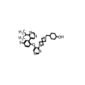 CC(C)c1ncncc1-c1cc(F)ccc1Oc1cncnc1N1CC2(CN(CC3CCC(O)CC3)C2)C1